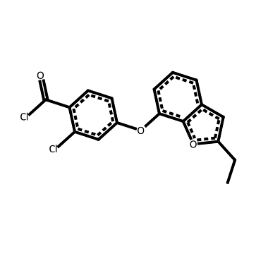 CCc1cc2cccc(Oc3ccc(C(=O)Cl)c(Cl)c3)c2o1